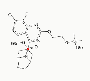 CC(C)(C)OC(=O)N1C2CCC1CN(c1nc(OCCO[Si](C)(C)C(C)(C)C)nc3c(F)c(Cl)ncc13)C2